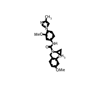 COc1ccc(CN(C(=O)Nc2ccc(-n3cnc(C)c3)c(OC)c2)C2CC2)c(C)c1